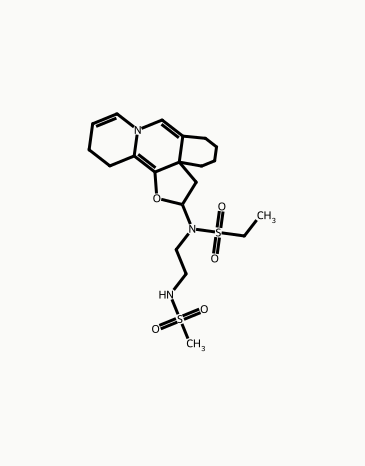 CCS(=O)(=O)N(CCNS(C)(=O)=O)C1CC23CCCCC2=CN2C=CCCC2=C3O1